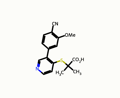 COc1cc(-c2cnccc2SC(C)(C)C(=O)O)ccc1C#N